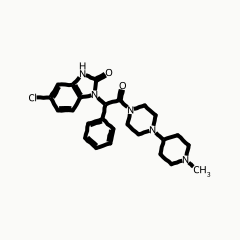 CN1CCC(N2CCN(C(=O)C(c3ccccc3)n3c(=O)[nH]c4cc(Cl)ccc43)CC2)CC1